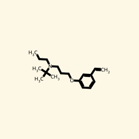 C=Cc1cccc(OCCCN(CCC)C(C)(C)C)c1